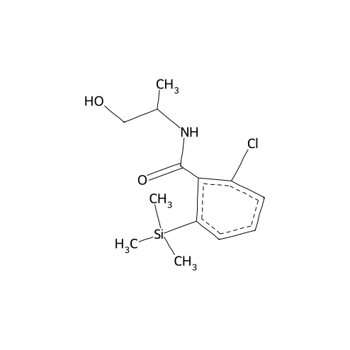 CC(CO)NC(=O)c1c(Cl)cccc1[Si](C)(C)C